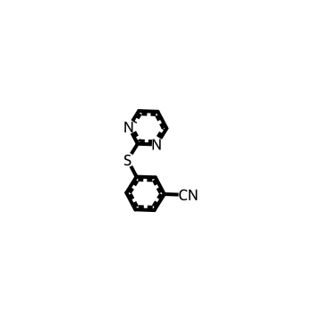 N#Cc1cccc(Sc2ncccn2)c1